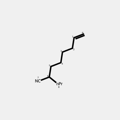 C=CCCCCC(C#N)CCC